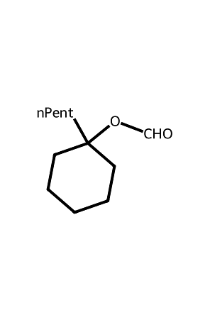 CCCCCC1(OC=O)CCCCC1